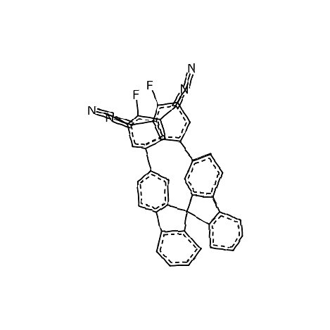 N#Cc1cc(-c2ccc3c(c2)C2(c4ccccc4-3)c3ccccc3-c3ccc(-c4cc(C#N)c(F)c(C#N)c4)cc32)cc(C#N)c1F